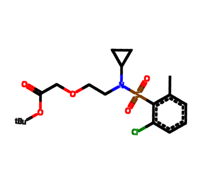 Cc1cccc(Cl)c1S(=O)(=O)N(CCOCC(=O)OC(C)(C)C)C1CC1